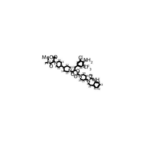 COC(=O)[C@@H](C(=O)N(C)C)N1CCC(C2CCN(C(=O)C(Cc3cc(Cl)c(N)c(C(F)(F)F)c3)OC(=O)N3CCC(N4CCc5ccccc5NC4=O)CC3)CC2)CC1